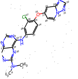 CN(C)c1ncc2ncnc(Nc3ccc(Oc4ccn5ncnc5c4)c(Cl)c3)c2n1